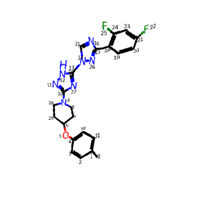 Cc1ccc(OC2CCN(c3n[nH]c(-n4cnc(-c5ccc(F)cc5F)n4)n3)CC2)cc1